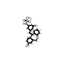 CS(=O)(=O)Nc1cc(F)cc(/C=C2/c3ccc(Cl)cc3COc3ccccc32)c1